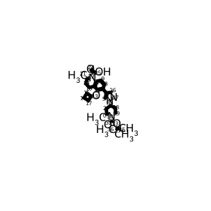 C[C@@H]1C[C@@H](n2cc(-c3ccc4c(c3OC3CCC3)CC[C@H](C)N4C(=O)O)cn2)CCN1C(=O)OC(C)(C)C